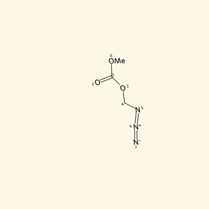 COC(=O)OCN=[N+]=[N-]